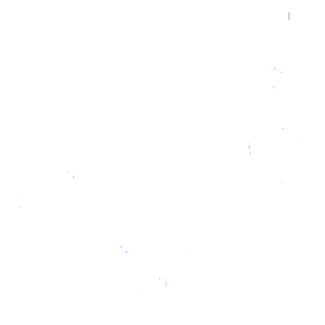 CCO/N=C1\CCc2cc(OCCC(C)CCN3CCN(c4ccnc(Cl)c4)S3(=O)=O)ccc21